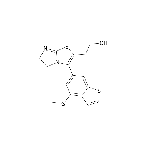 CSc1cc(C2=C(CCO)SC3=NCCN32)cc2sccc12